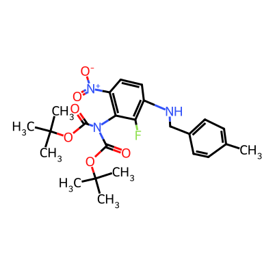 Cc1ccc(CNc2ccc([N+](=O)[O-])c(N(C(=O)OC(C)(C)C)C(=O)OC(C)(C)C)c2F)cc1